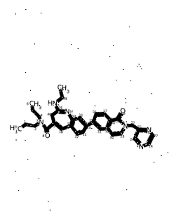 CCCN(CCC)C(=O)C1=Cc2ccc(-c3ccc4c(=O)n(Cc5cnccn5)ccc4c3)cc2N=C(NCC)C1